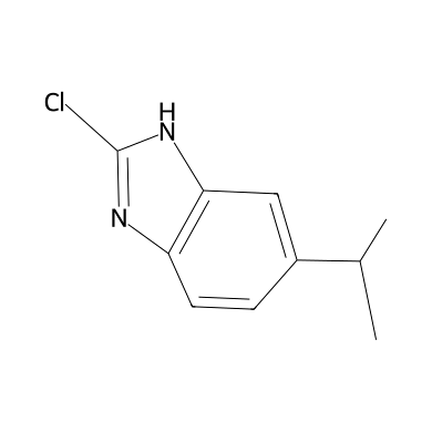 CC(C)c1ccc2nc(Cl)[nH]c2c1